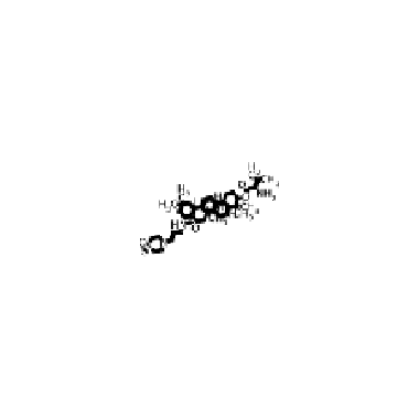 CC(C)[C@H](N)C(=O)O[C@H]1CC[C@]2(C)[C@H]3CC=C4[C@@H]5CC(C)(C)CC[C@]5(C(=O)NCCCN5CCS(=O)(=O)CC5)CC[C@@]4(C)[C@]3(C)CC[C@H]2C1(C)C